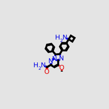 COC1=CC(C(N)=O)=NN2C1=NC(c1ccc(C3(N)CCC3)cc1)C2c1ccccc1